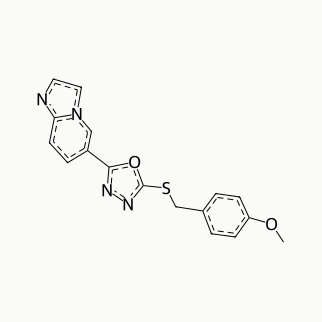 COc1ccc(CSc2nnc(-c3ccc4nccn4c3)o2)cc1